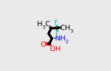 CC(C[C@H](N)C(=O)O)C(C)(F)F